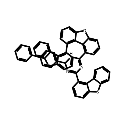 c1ccc(-c2ccc(C3N=C(c4cccc5sc6ccccc6c45)N=C(c4cccc5oc6cccc(-c7cccc8sc9ccccc9c78)c6c45)N3)cc2)cc1